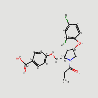 CCC(=O)N1C[C@H](Oc2ccc(F)cc2F)C[C@H]1COc1ccc(C(=O)O)cc1